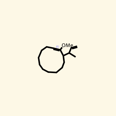 C=CC(C)C1CCCCCCCCC/C=C\1OC